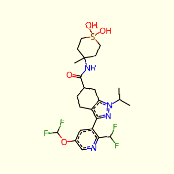 CC(C)n1nc(-c2cc(OC(F)F)cnc2C(F)F)c2c1CC(C(=O)NC1(C)CCS(O)(O)CC1)CC2